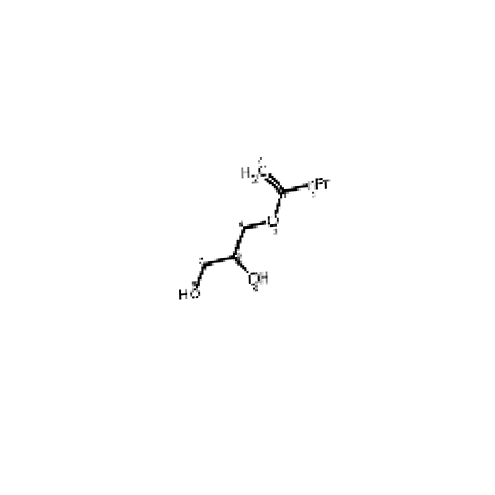 C=C(CCC)OCC(O)CO